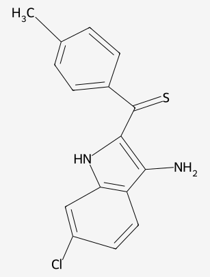 Cc1ccc(C(=S)c2[nH]c3cc(Cl)ccc3c2N)cc1